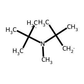 [CH2]C(C)(C)N(C)C([CH2])(C)C